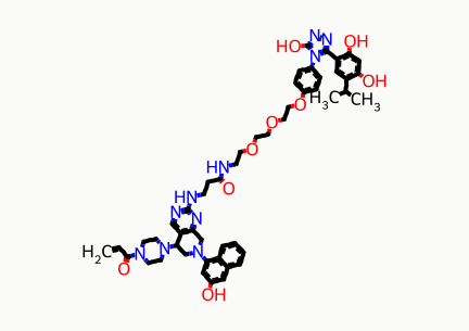 C=CC(=O)N1CCN(C2CN(c3cc(O)cc4ccccc34)Cc3nc(NCCC(=O)NCCOCCOCCOc4ccc(-n5c(O)nnc5-c5cc(C(C)C)c(O)cc5O)cc4)ncc32)CC1